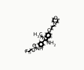 CCn1c(-c2ccc(NC(=O)OCCF)cc2)c(N)c2ccc(OCCCN3CCOCC3)cc21